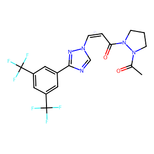 CC(=O)N1CCCN1C(=O)/C=C\n1cnc(-c2cc(C(F)(F)F)cc(C(F)(F)F)c2)n1